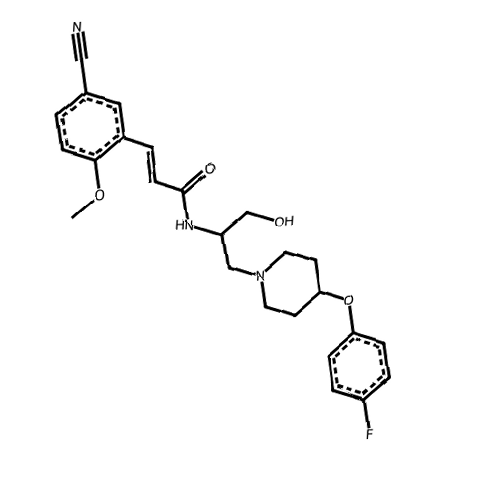 COc1ccc(C#N)cc1/C=C/C(=O)NC(CO)CN1CCC(Oc2ccc(F)cc2)CC1